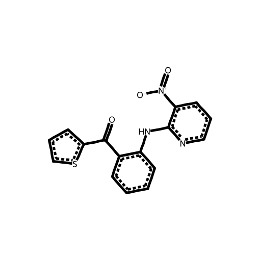 O=C(c1cccs1)c1ccccc1Nc1ncccc1[N+](=O)[O-]